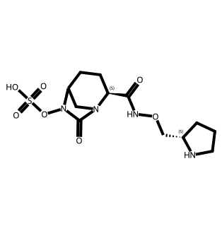 O=C(NOC[C@@H]1CCCN1)[C@@H]1CCC2CN1C(=O)N2OS(=O)(=O)O